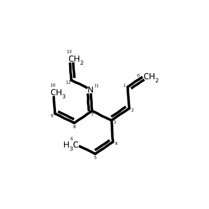 C=C/C=C(/C=C\C)C(\C=C/C)=N\C=C